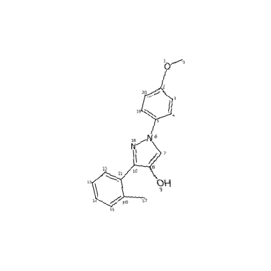 COc1ccc(-n2cc(O)c(-c3ccccc3C)n2)cc1